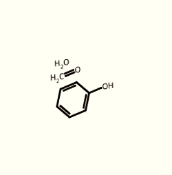 C=O.O.Oc1ccccc1